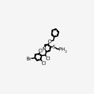 PCSc1cc(C(Cl)c2c(Cl)cc(Br)cc2Cl)ncc1OCc1ccccc1